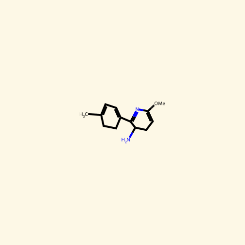 COC1=CCC(N)C(C2=CC=C(C)CC2)=N1